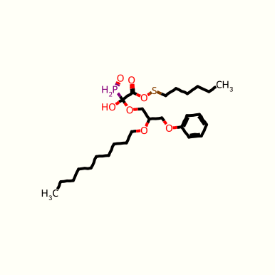 CCCCCCCCCCOC(COc1ccccc1)COC(O)([PH2]=O)C(=O)OSCCCCCC